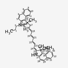 CCCNc1ccc2ccccc2c1C(C)(C)C/C=C/C=C/C=C/C=C1/Nc2ccc3cccc(C)c3c2C1(C)C